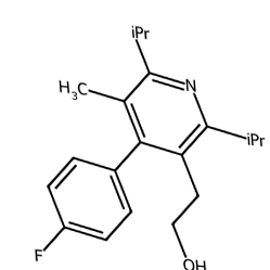 Cc1c(C(C)C)nc(C(C)C)c(CCO)c1-c1ccc(F)cc1